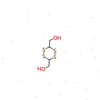 OCC1SSC(CO)SS1